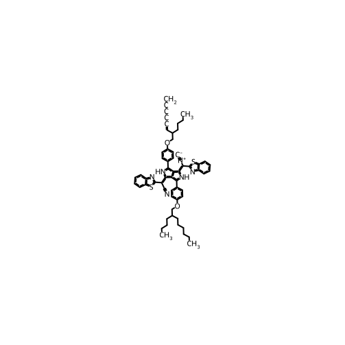 [C-]#[N+]/C(c1nc2ccccc2s1)=c1/[nH]c(-c2ccc(OCC(CCCC)CCCCCC)cc2)c2/c(=C(\C#N)c3nc4ccccc4s3)[nH]c(-c3ccc(OCC(C=C=C=C=C=C)CCCC)cc3)c12